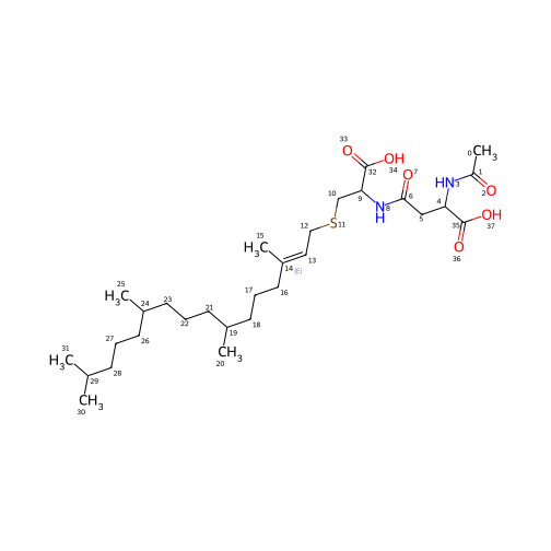 CC(=O)NC(CC(=O)NC(CSC/C=C(\C)CCCC(C)CCCC(C)CCCC(C)C)C(=O)O)C(=O)O